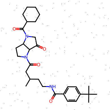 CC(CCNC(=O)c1ccc(C(C)(C)C)cc1)CC(=O)N1CCC2C1C(=O)CN2C(=O)C1CCCCC1